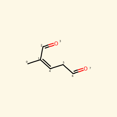 CC([C]=O)=CC[C]=O